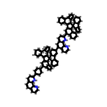 c1ccc2c(c1)-c1cc(-c3cc4ccc(-c5cc6c(c7ccccc57)C5(c7ccccc7-c7ccccc75)c5c-6c6ccccc6c6ccccc56)nc4c4ncccc34)ccc1C21c2c(cc(-c3ccc(-c4ccc5ccc6cccnc6c5n4)cc3)c3ccccc23)-c2c1c1ccccc1c1ccccc21